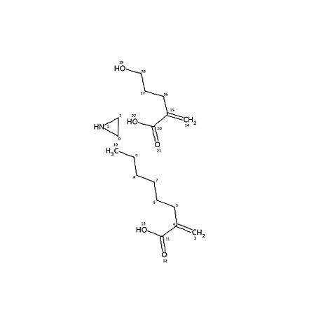 C1CN1.C=C(CCCCCC)C(=O)O.C=C(CCCO)C(=O)O